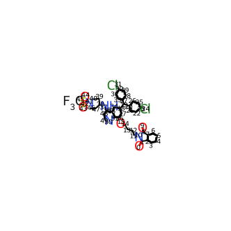 O=C1c2ccccc2C(=O)N1CCCCOc1cc(C(c2ccc(Cl)cc2)c2ccc(Cl)cc2)cc2c(NC3CCN(S(=O)(=O)C(F)(F)F)CC3)ccnc12